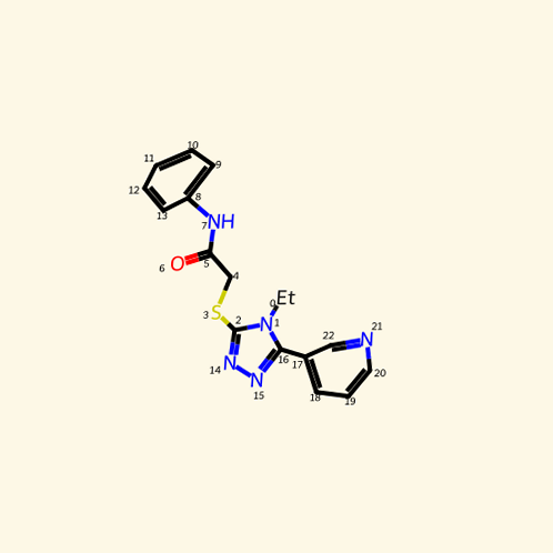 CCn1c(SCC(=O)Nc2ccccc2)nnc1-c1cccnc1